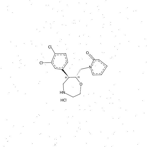 Cl.O=c1ccccn1C[C@@H]1OCCNC[C@H]1c1ccc(Cl)c(Cl)c1